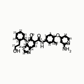 Nc1cc(Oc2ccc(NC(=O)c3cc4ncsc4n(-c4ccccc4CCO)c3=O)cc2F)ccn1